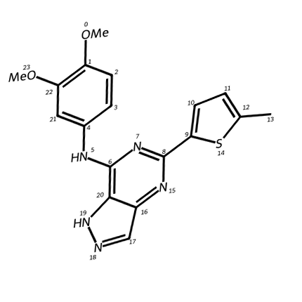 COc1ccc(Nc2nc(-c3ccc(C)s3)nc3cn[nH]c23)cc1OC